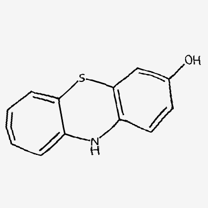 Oc1ccc2c(c1)Sc1ccccc1N2